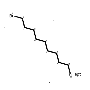 [CH2]C(CC)CCCCCCCCCCCCCCCC